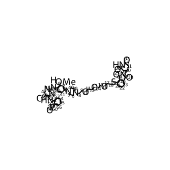 COc1cc(N2CCN(CCOCCOCCOCCSc3cccc4c3C(=O)N(C3CCC(=O)NC3=O)C4=O)CC2)ccc1Nc1ncc(Cl)c(Nc2ccccc2P(C)(C)=O)n1